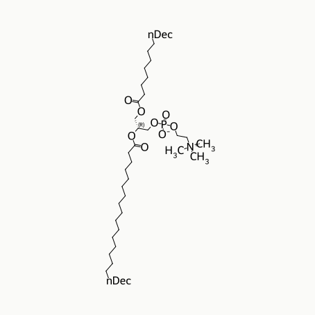 CCCCCCCCCCCCCCCCCCCCCCCCCC(=O)O[C@H](COC(=O)CCCCCCCCCCCCCCCCC)COP(=O)([O-])OCC[N+](C)(C)C